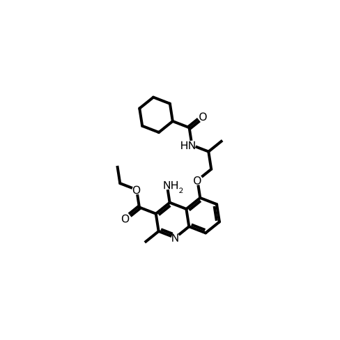 CCOC(=O)c1c(C)nc2cccc(OCC(C)NC(=O)C3CCCCC3)c2c1N